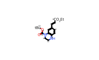 CCOC(=O)C=Cc1ccc2c(c1)N(C(=O)OC(C)(C)C)CCN2